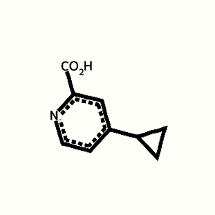 O=C(O)c1cc(C2CC2)ccn1